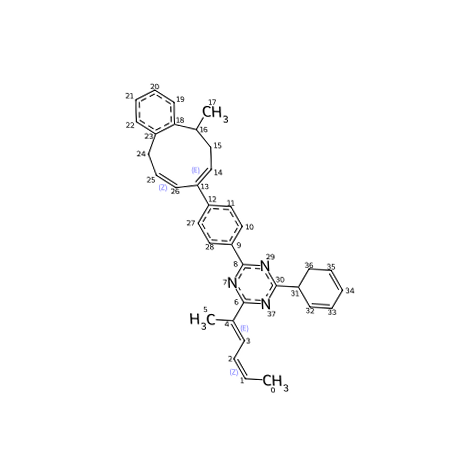 C/C=C\C=C(/C)c1nc(-c2ccc(C3=C/CC(C)c4ccccc4C/C=C\3)cc2)nc(C2C=CC=CC2)n1